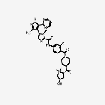 Cn1c(-c2c(C(F)(F)F)n[nH]c2-c2ncccn2)cnc1C(=O)Nc1ccc(C(=O)N2CCN(C(=O)[C@@H]3C[C@@H](O)C[N+]3(C)C)CC2)c(Cl)c1